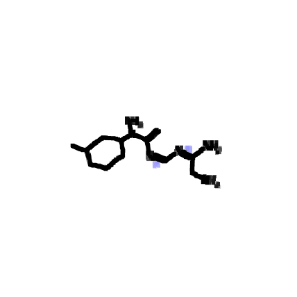 C=C(/N=C\N=C(\N)CN)N(N)C1CCCC(C)C1